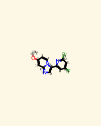 CC(C)Oc1ccn2c(-c3cc(F)cc(Br)n3)cnc2c1